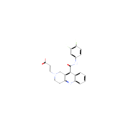 O=C(O)CCN1CCc2nc3ccccc3c(C(=O)Nc3ccc(F)c(F)c3)c2C1